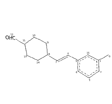 Cc1cccc(/C=C/C2CCC(C=O)CC2)c1